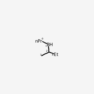 CCCBC(C)CC